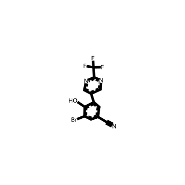 N#Cc1cc(Br)c(O)c(-c2cnc(C(F)(F)F)nc2)c1